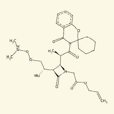 C=CCOC(=O)CN1C(=O)[C@@H]([C@@H](COO[SiH](C)C)C(C)(C)C)[C@H]1[C@@H](C)C(=O)N1C(=O)c2ccccc2OC12CCCCC2